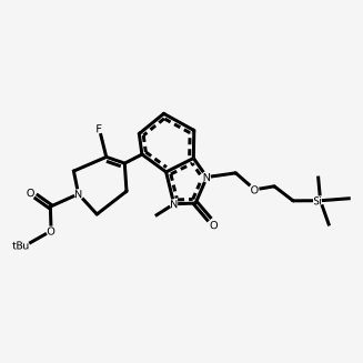 Cn1c(=O)n(COCC[Si](C)(C)C)c2cccc(C3=C(F)CN(C(=O)OC(C)(C)C)CC3)c21